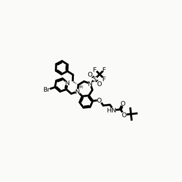 CC(C)(C)OC(=O)NCCOc1cccc2c1CN(S(=O)(=O)C(F)(F)F)C[C@@H](CCc1ccccc1)N2Cc1cc(Br)ccn1